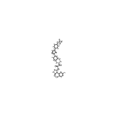 Cc1ccc(Cl)c(N2C(=O)CS/C2=N\C(=O)NC2CCc3cc(-c4ncn(-c5ccc(OC(F)(F)F)cc5)n4)ccc3C2)c1